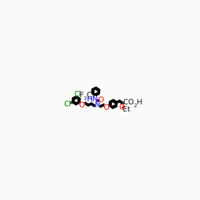 CCOC(Cc1ccc(OCCN(CCCCOc2cc(Cl)cc(Cl)c2)C(=O)Nc2ccccc2C(F)(F)F)cc1)C(=O)O